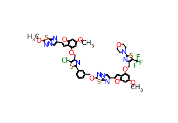 COc1cc(OCc2nc(-c3cccc(COc4nn5cc(-c6cc7c(OCc8nc(N9CCOCC9)sc8C(F)(F)F)cc(OC)cc7o6)nc5s4)c3)sc2Cl)c2cc(-c3cn4nc(OC)sc4n3)oc2c1